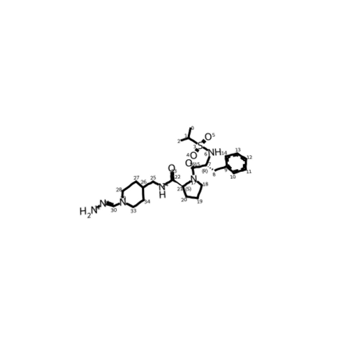 CC(C)S(=O)(=O)N[C@H](Cc1ccccc1)C(=O)N1CCC[C@H]1C(=O)NCC1CCN(C=NN)CC1